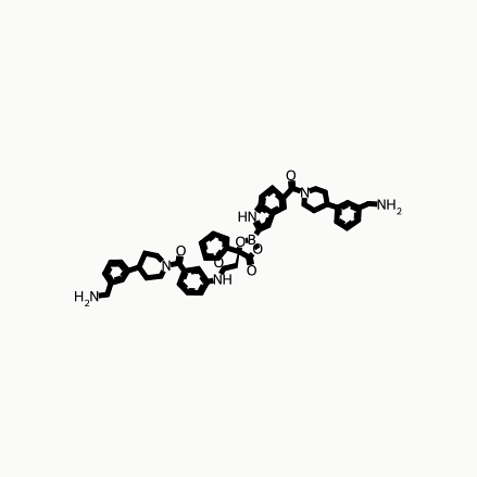 NCc1cccc(C2CCN(C(=O)c3cccc(NC(=O)C[C@@]4(c5ccccc5)OB(c5cc6cc(C(=O)N7CCC(c8cccc(CN)c8)CC7)ccc6[nH]5)OC4=O)c3)CC2)c1